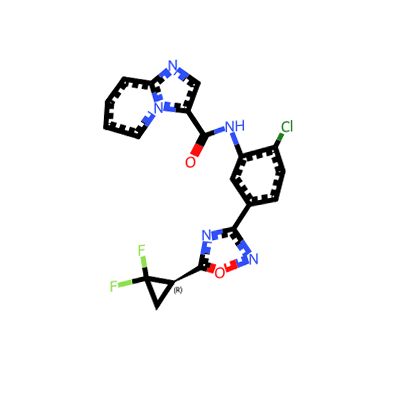 O=C(Nc1cc(-c2noc([C@H]3CC3(F)F)n2)ccc1Cl)c1cnc2ccccn12